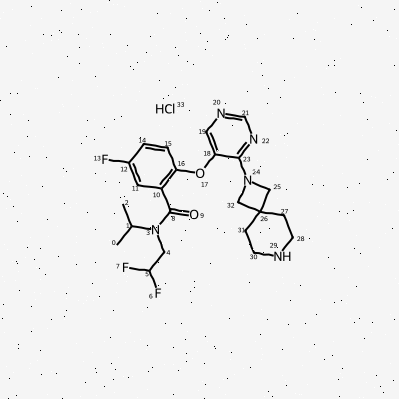 CC(C)N(CC(F)F)C(=O)c1cc(F)ccc1Oc1cncnc1N1CC2(CCNCC2)C1.Cl